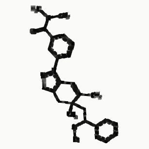 CCOC(CC1(C)Cc2cnn(-c3cccc(C(=O)N(C)C)c3)c2C=C1C)c1ccccc1